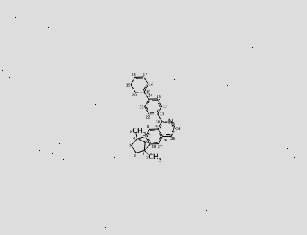 CC12CCC(C)(C1)c1cc3c(-c4ccc(C5=CC=CCC5)cc4)nccc3cc12